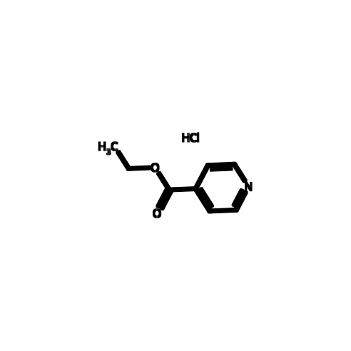 CCOC(=O)c1ccncc1.Cl